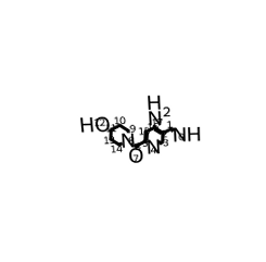 N=Cc1cnc(C(=O)N2CCC(O)CC2)cc1N